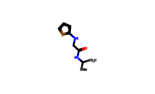 COC(NC(=O)CNc1cccs1)C(=O)O